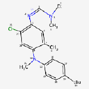 CCN(C)/C=N\c1cc(C)c(N(C)c2ccc(C(C)(C)C)cc2)cc1Cl